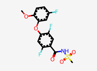 COc1ccc(F)cc1Oc1cc(F)c(C(=O)NS(C)(=O)=O)cc1F